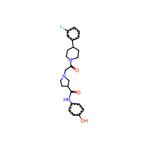 O=C(Nc1ccc(O)cc1)C1CCN(CC(=O)N2CCC(c3cccc(F)c3)CC2)C1